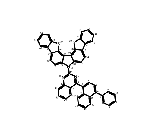 c1ccc(-c2ccc(-c3nc(-n4c5ccc6c7ccccc7sc6c5c5c6sc7ccccc7c6ccc54)nc4ccccc34)c3ccccc23)cc1